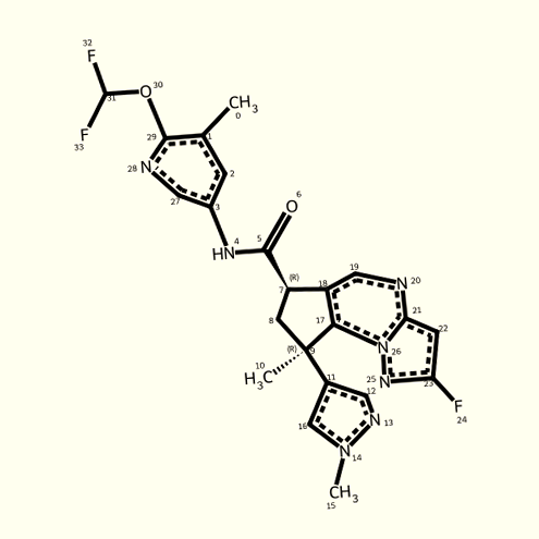 Cc1cc(NC(=O)[C@@H]2C[C@](C)(c3cnn(C)c3)c3c2cnc2cc(F)nn32)cnc1OC(F)F